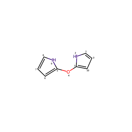 C1=C[IH]C(OC2=CC=C[IH]2)=C1